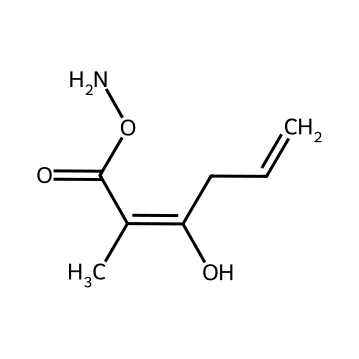 C=CCC(O)=C(C)C(=O)ON